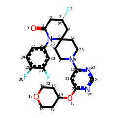 O=C1C[C@H](F)CC2(CCN(c3cc(OC4CCOCC4)ncn3)CC2)N1c1ccc(F)c(F)c1